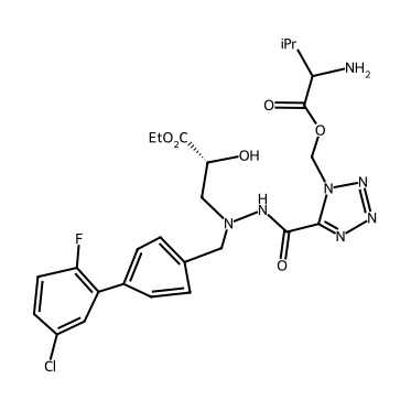 CCOC(=O)[C@H](O)CN(Cc1ccc(-c2cc(Cl)ccc2F)cc1)NC(=O)c1nnnn1COC(=O)C(N)C(C)C